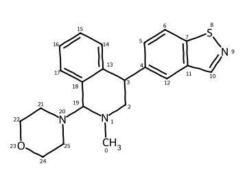 CN1CC(c2ccc3sncc3c2)c2ccccc2C1N1CCOCC1